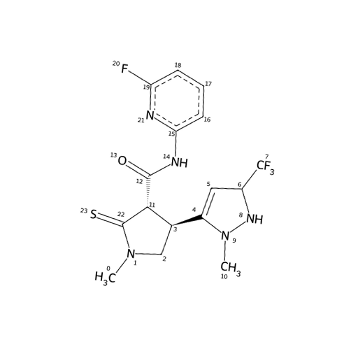 CN1C[C@H](C2=CC(C(F)(F)F)NN2C)[C@@H](C(=O)Nc2cccc(F)n2)C1=S